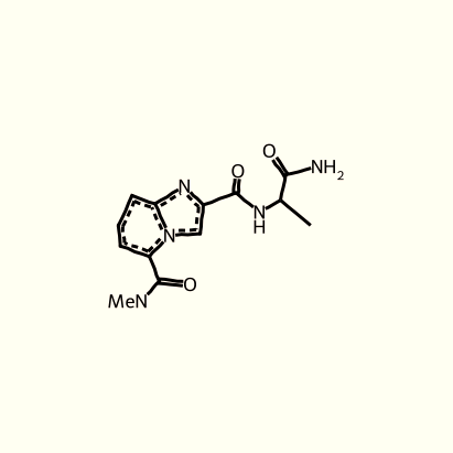 CNC(=O)c1cccc2nc(C(=O)NC(C)C(N)=O)cn12